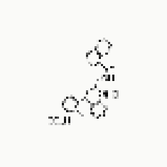 C[C@@H](NCC1CN(c2cccc(C(=O)O)c2F)c2ccccc2O1)c1cccc2ccccc12.Cl